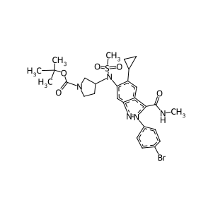 CNC(=O)c1c2cc(C3CC3)c(N(C3CCN(C(=O)OC(C)(C)C)C3)S(C)(=O)=O)cc2nn1-c1ccc(Br)cc1